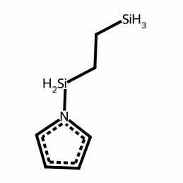 [SiH3]CC[SiH2]n1cccc1